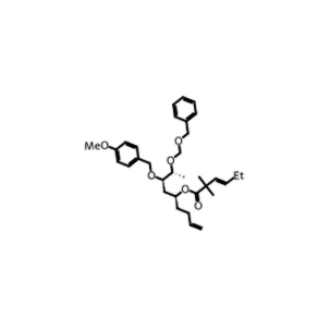 C=CCC[C@@H](C[C@@H](OCc1ccc(OC)cc1)[C@@H](C)OCOCc1ccccc1)OC(=O)C(C)(C)/C=C/CC